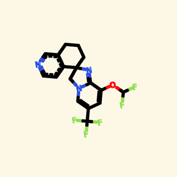 FC(F)OC1=CC(C(F)(F)F)=CN2CC3(CCCc4cnccc43)N=C12